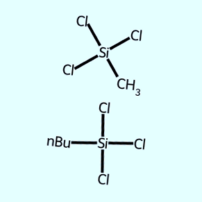 CCCC[Si](Cl)(Cl)Cl.C[Si](Cl)(Cl)Cl